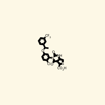 CC(Oc1ccc(Cl)c(-n2c(=O)[nH]c3csc(C(=O)O)c3c2=O)c1)c1cccc(C(F)(F)F)c1